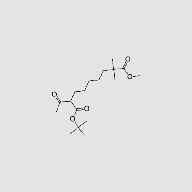 COC(=O)C(C)(C)CCCCCC(C(C)=O)C(=O)OC(C)(C)C